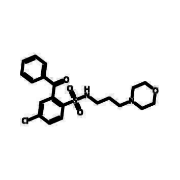 O=C(c1ccccc1)c1cc(Cl)ccc1S(=O)(=O)NCCCN1CCOCC1